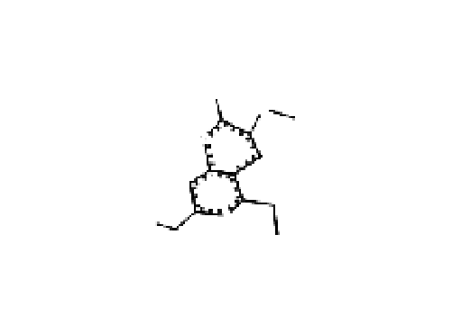 CCc1cc2nc(N)c(OC)cc2c(CC)n1